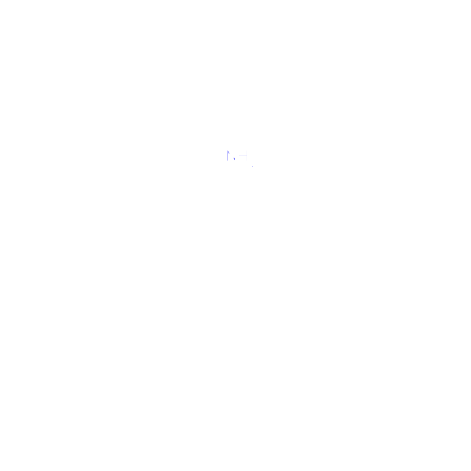 NCc1c[c]cc(F)c1